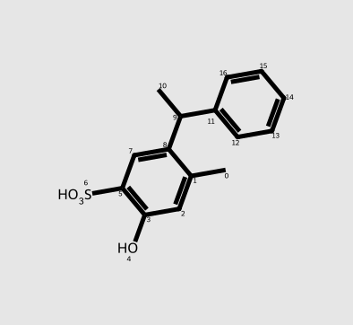 Cc1cc(O)c(S(=O)(=O)O)cc1C(C)c1ccccc1